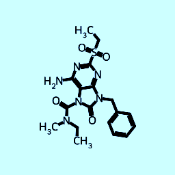 CCN(C)C(=O)n1c(=O)n(Cc2ccccc2)c2nc(S(=O)(=O)CC)nc(N)c21